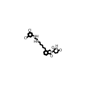 O=C1CCC(N2Cc3c(CCCCCNCCNc4cc(Cl)cc(Cl)c4)cccc3C2=O)C(=O)N1